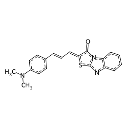 CN(C)c1ccc(C=CC=c2sc3nc4ccccc4n3c2=O)cc1